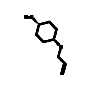 C=CCO[C@H]1CC[C@H](NC)CC1